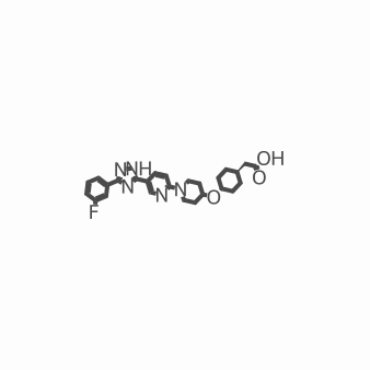 O=C(O)C[C@H]1CC[C@@H](OC2CCN(c3ccc(-c4nc(-c5cccc(F)c5)n[nH]4)cn3)CC2)CC1